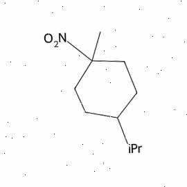 CC(C)C1CCC(C)([N+](=O)[O-])CC1